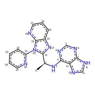 C[C@H](Nc1ncnc2[nH]cnc12)c1nc2cccnc2n1-c1ccccn1